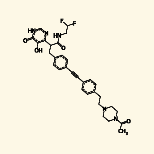 CC(=O)N1CCN(CCc2ccc(C#Cc3ccc(CC(C(=O)NCC(F)F)c4nc[nH]c(=O)c4O)cc3)cc2)CC1